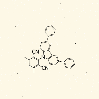 Cc1cc(C)c(C#N)c(-n2c3ccc(-c4ccccc4)cc3c3cc(-c4ccccc4)ccc32)c1C#N